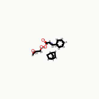 C1=C2CCC(C1)C2.O=C(/C=C/c1ccccc1)OOCC1CO1